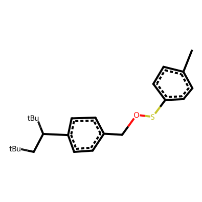 Cc1ccc(SOCc2ccc(C(CC(C)(C)C)C(C)(C)C)cc2)cc1